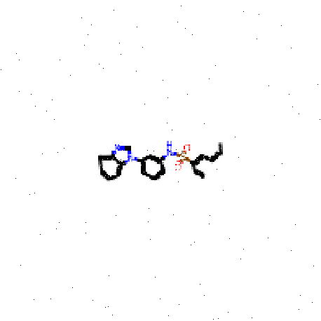 C=C/C(=C\C=C/C)S(=O)(=O)Nc1cccc(-n2cnc3ccccc32)c1